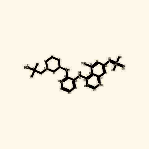 CC(C)(O)CN1CCC[C@@H](Oc2ncccc2Nc2ncnc3cc(N=S(C)(C)=O)cc(F)c23)C1